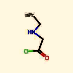 CCCCNCC(=O)Cl